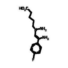 N/C(=C\N(N)CCCCC(=O)O)c1ccc(F)cc1